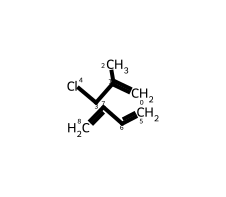 C=C(C)CCl.C=CC=C